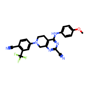 COc1ccc(Nc2nc(C#N)nc3c2CCN(c2ccc(C#N)c(C(F)(F)F)c2)C3)cc1